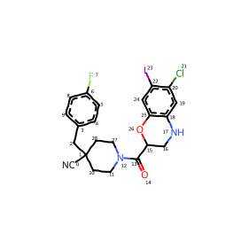 N#CC1(Cc2ccc(F)cc2)CCN(C(=O)C2CNc3cc(Cl)c(I)cc3O2)CC1